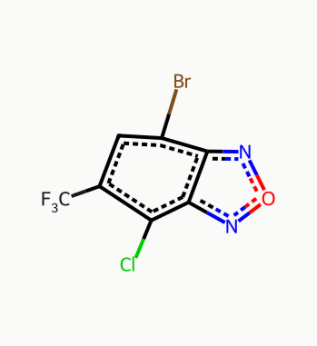 FC(F)(F)c1cc(Br)c2nonc2c1Cl